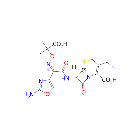 CC(C)(O/N=C(\C(=O)NC1C(=O)N2C(C(=O)O)=C(CI)CS[C@H]12)c1coc(N)n1)C(=O)O